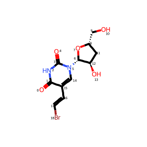 O=c1[nH]c(=O)n([C@@H]2O[C@H](CO)C[C@H]2O)cc1C=CBr